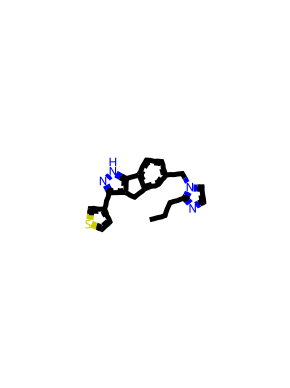 CCCc1nccn1Cc1ccc2c(c1)Cc1c(-c3ccsc3)n[nH]c1-2